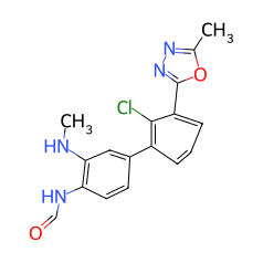 CNc1cc(-c2cccc(-c3nnc(C)o3)c2Cl)ccc1NC=O